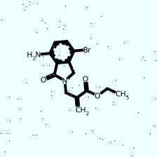 C=C(CN1Cc2c(Br)ccc(N)c2C1=O)C(=O)OCC